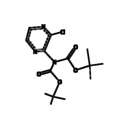 CC(C)(C)OC(=O)N(C(=O)OC(C)(C)C)c1nccnc1Cl